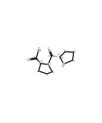 CCC(=O)[C@@H]1CCCN1C(=O)[C@@H]1CCCO1